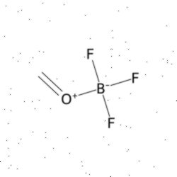 C=[O+][B-](F)(F)F